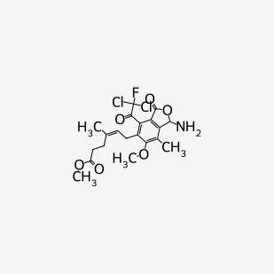 COC(=O)CCC(C)=CCc1c(OC)c(C)c2c(c1C(=O)C(F)(Cl)Cl)C(=O)OC2N